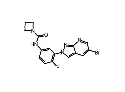 O=C(Nc1ccc(F)c(-n2cc3cc(Br)cnc3n2)c1)N1CCC1